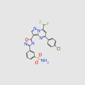 NS(=O)(=O)c1cccc(-c2noc(-c3cnn4c(C(F)F)cc(-c5ccc(Cl)cc5)nc34)n2)c1